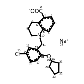 O=C([O-])c1cccc2c1CCCN2Cc1cc(Cl)ccc1OC1CCCC1.[Na+]